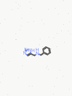 [c]1ccc(CNCc2cnn[nH]2)cc1